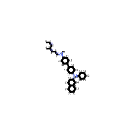 C\C=C/C(C)=C\C=C\N(C)c1ccc(-c2ccc(N(c3ccccc3)c3ccc4ccccc4c3)cc2)cc1